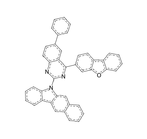 c1ccc(-c2ccc3nc(-n4c5ccccc5c5cc6ccccc6cc54)nc(-c4ccc5c(c4)oc4ccccc45)c3c2)cc1